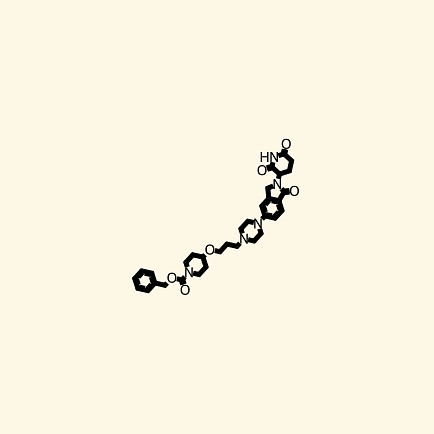 O=C1CCC(N2Cc3cc(N4CCN(CCCOC5CCN(C(=O)OCc6ccccc6)CC5)CC4)ccc3C2=O)C(=O)N1